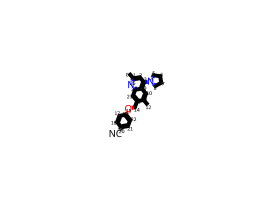 Cc1cc(N2CCCC2)c2cc(C)c(COc3ccc(C#N)cc3)cc2n1